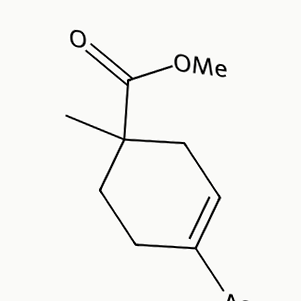 COC(=O)C1(C)CC=C(C(C)=O)CC1